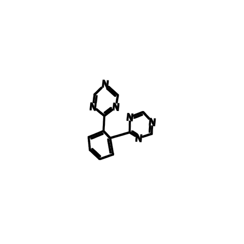 c1ccc(-c2ncncn2)c(-c2ncncn2)c1